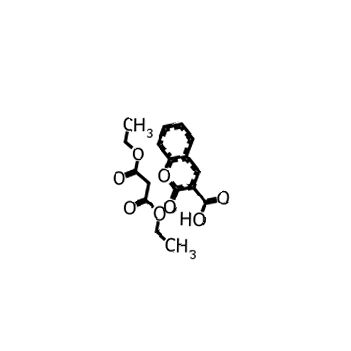 CCOC(=O)CC(=O)OCC.O=C(O)c1cc2ccccc2oc1=O